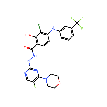 O=C(NNc1ncc(F)c(N2CCOCC2)n1)c1ccc(Nc2cccc(C(F)(F)F)c2)c(Cl)c1O